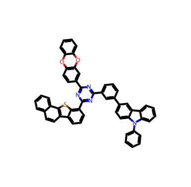 c1ccc(-n2c3ccccc3c3cc(-c4cccc(-c5nc(-c6ccc7c(c6)Oc6ccccc6O7)nc(-c6cccc7c6sc6c8ccccc8ccc76)n5)c4)ccc32)cc1